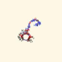 CO[C@H]1C[C@@H]2CC[C@@H](C)[C@@](O)(O2)C(=O)C(=O)N2CCCC[C@H]2C(=O)O[C@H]([C@H](N)C[C@@H]2CC[C@@H](OC(=O)NCc3cnc(N4CCN(CCOCCN5CCN(c6ncc(C(=O)N7CCc8cc(Cn9nc(-c%10cnc%11[nH]ccc%11c%10)c%10c(N)ncnc%109)ccc8C7)cn6)CC5)CC4)nc3)[C@H](OC)C2)CC(=O)[C@H](C)/C=C(\C)[C@@H](O)[C@@H](OC)C(=O)[C@H](C)C[C@H](C)/C=C/C=C/C=C/1C